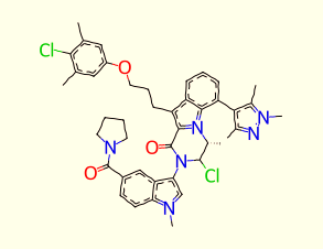 Cc1cc(OCCCc2c3n(c4c(-c5c(C)nn(C)c5C)cccc24)[C@H](C)C(Cl)N(c2cn(C)c4ccc(C(=O)N5CCCC5)cc24)C3=O)cc(C)c1Cl